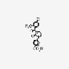 O=C(O)c1ccc(N2CCCN(C(=O)c3ccc(Cl)cc3C(F)(F)F)C2=O)nn1